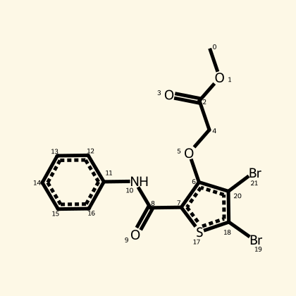 COC(=O)COc1c(C(=O)Nc2ccccc2)sc(Br)c1Br